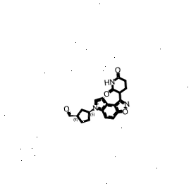 O=C[C@@H]1CC[C@H](n2ccc3c4c(C5CCC(=O)NC5=O)noc4ccc32)C1